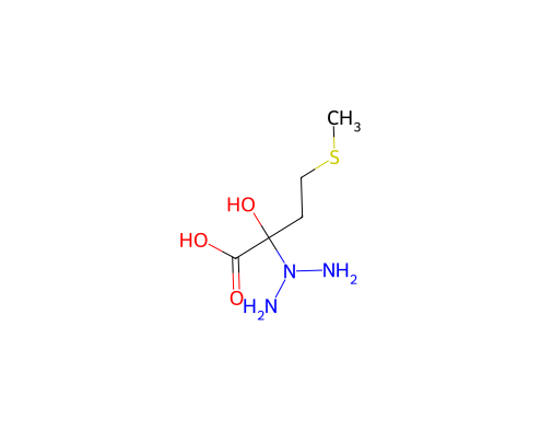 CSCCC(O)(C(=O)O)N(N)N